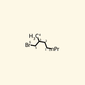 CCCCCC(C)CBr